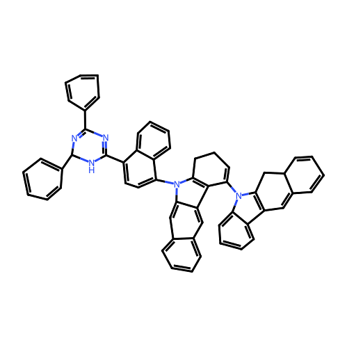 C1=CC2=Cc3c(n(C4=CCCc5c4c4cc6ccccc6cc4n5-c4ccc(C5=NC(c6ccccc6)=NC(c6ccccc6)N5)c5ccccc45)c4ccccc34)CC2C=C1